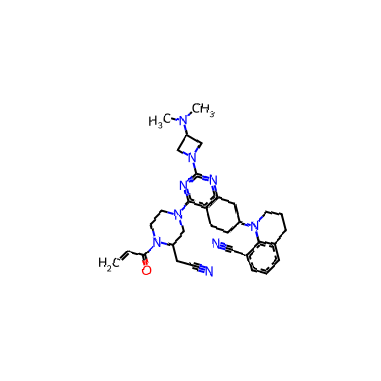 C=CC(=O)N1CCN(c2nc(N3CC(N(C)C)C3)nc3c2CCC(N2CCCc4cccc(C#N)c42)C3)CC1CC#N